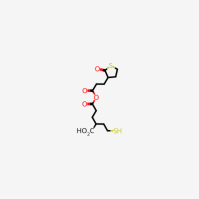 O=C(CCC(CCS)C(=O)O)OC(=O)CCC1CCSC1=O